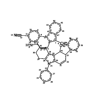 Cc1c(/C=C\CN)n(-c2ccc(C#N)cc2C2=Cc3c4c(n(-c5ccccc5)c3CC2)C=CC2c3ccccc3OC42)c2ccccc12